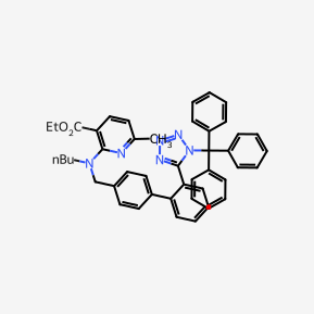 CCCCN(Cc1ccc(-c2ccccc2-c2nnnn2C(c2ccccc2)(c2ccccc2)c2ccccc2)cc1)c1nc(C)ccc1C(=O)OCC